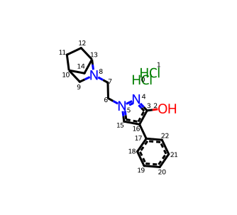 Cl.Cl.Oc1nn(CCN2CC3CCC2C3)cc1-c1ccccc1